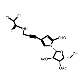 CC(=O)O[C@@H]1[C@H](OC(C)=O)[C@@H](CO)O[C@H]1n1cc(C#CCNC(=O)C(Cl)Cl)cc1C=O